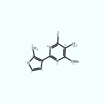 COc1nc(-c2ccoc2C)nc(F)c1C(F)(F)F